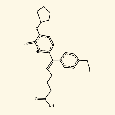 NC(=O)CCC/C=C(\c1ccc(CF)cc1)c1ccc(OC2CCCC2)c(=O)[nH]1